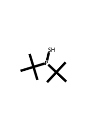 CC(C)(C)P(S)C(C)(C)C